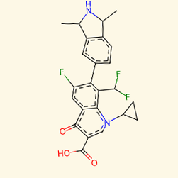 CC1NC(C)c2cc(-c3c(F)cc4c(=O)c(C(=O)O)cn(C5CC5)c4c3C(F)F)ccc21